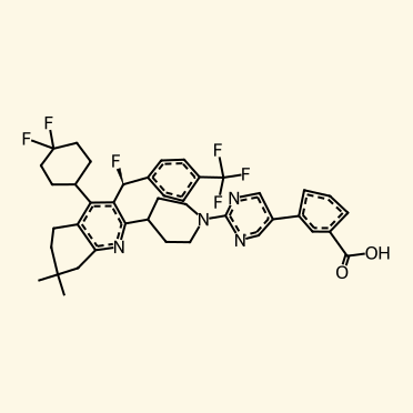 CC1(C)CCc2c(nc(C3CCN(c4ncc(-c5cccc(C(=O)O)c5)cn4)CC3)c([C@@H](F)c3ccc(C(F)(F)F)cc3)c2C2CCC(F)(F)CC2)C1